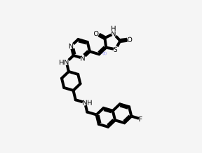 O=C1NC(=O)/C(=C\c2ccnc(NC3CCC(CNCc4ccc5cc(F)ccc5c4)CC3)n2)S1